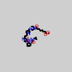 COC(=O)CCCCCCC(=O)N1CCN(Cc2ccc(-c3cc4nccc(OC5C=CC=CC5(F)NC(=O)NC5CC5)c4s3)nc2)CC1